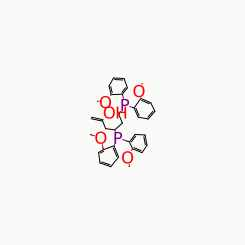 C=C(O)CC(CCP(c1ccccc1OC)c1ccccc1OC)P(c1ccccc1OC)c1ccccc1OC